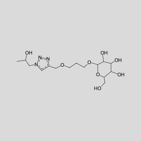 CC(O)Cn1cc(COCCCOC2OC(CO)C(O)C(O)C2O)nn1